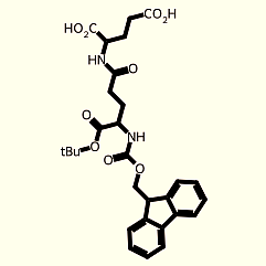 CC(C)(C)OC(=O)C(CCC(=O)NC(CCC(=O)O)C(=O)O)NC(=O)OCC1c2ccccc2-c2ccccc21